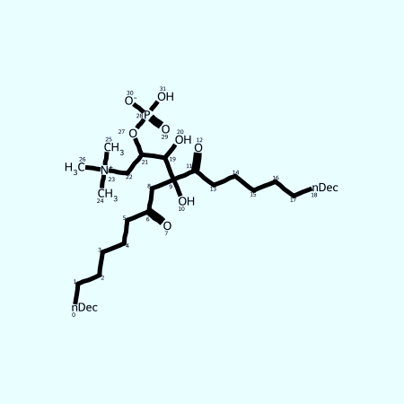 CCCCCCCCCCCCCCCC(=O)CC(O)(C(=O)CCCCCCCCCCCCCCC)C(O)C(C[N+](C)(C)C)OP(=O)([O-])O